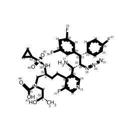 C[C@H](O)CN(C[C@H](CCc1c(F)cncc1C(N)[C@@H](N=[N+]=[N-])[C@@H](c1ccc(F)cc1)c1cc(F)cc(F)c1)NS(=O)(=O)C1CC1)C(=O)O